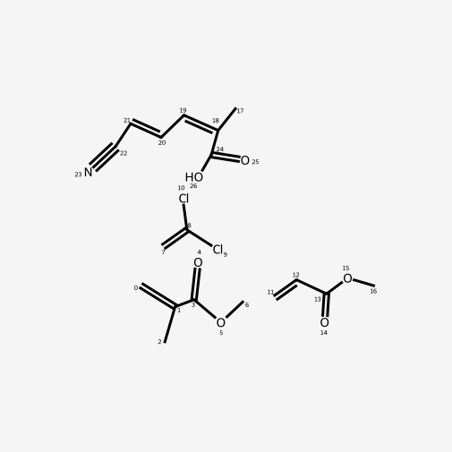 C=C(C)C(=O)OC.C=C(Cl)Cl.C=CC(=O)OC.CC(=CC=CC#N)C(=O)O